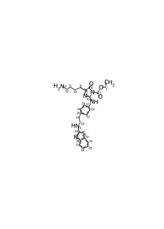 CCOC(=O)N1C(=O)[C@H](CCCCN)N=C1Nc1ccc(CCNc2nc3ccccc3s2)cc1